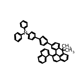 CC1(C)c2ccc(-c3ccc(-c4ccc(N(c5ccccc5)c5ccccc5)cc4)cc3)cc2-c2c(-c3cccc4ccccc34)ccc3cccc1c23